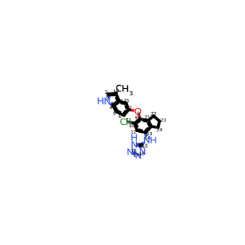 Cc1c[nH]c2ccc(Oc3c(Cl)cc(Nc4nnn[nH]4)c4c3CCC4)cc12